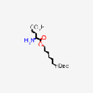 CCCCCCCCCCCCCCCCOC(=O)C(N)CCC(=O)O